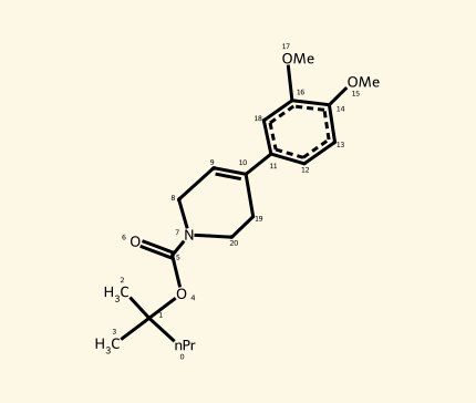 CCCC(C)(C)OC(=O)N1CC=C(c2ccc(OC)c(OC)c2)CC1